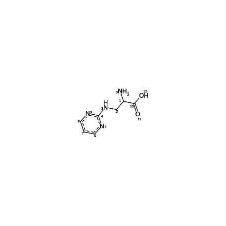 NC(CNc1ncccn1)C(=O)O